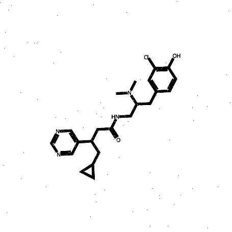 CN(C)C(CNC(=O)CC(CC1CC1)c1cncnc1)Cc1ccc(O)c(Cl)c1